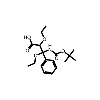 CCOC(C(=O)O)C(NC(=O)OC(C)(C)C)(OCC)c1ccccc1